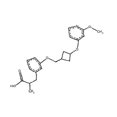 COc1cc(OC2CC(COc3cccc(CC(C)C(=O)O)c3)C2)ccn1